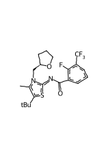 Cc1c(C(C)(C)C)sc(=NC(=O)c2cccc(C(F)(F)F)c2F)n1C[C@H]1CCCO1